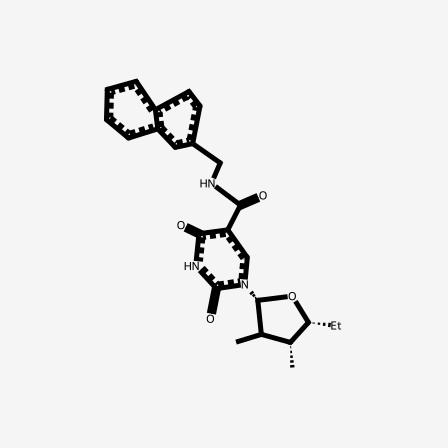 CC[C@H]1O[C@@H](n2cc(C(=O)NCc3ccc4ccccc4c3)c(=O)[nH]c2=O)C(C)[C@H]1C